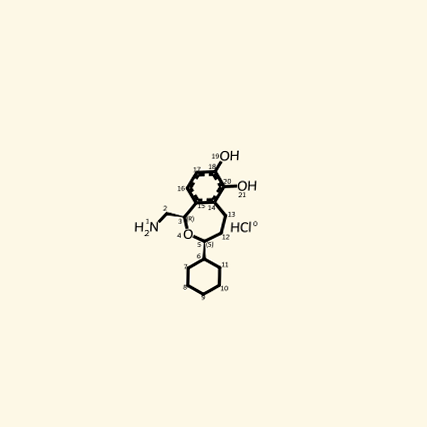 Cl.NC[C@@H]1O[C@H](C2CCCCC2)CCc2c1ccc(O)c2O